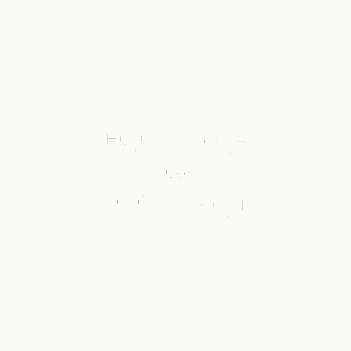 O=[C](O)[Co-2]([C](=O)O)([C](=O)O)[C](=O)O